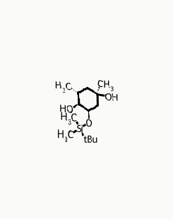 C[C@@H]1C[C@@](C)(O)C[C@@H](O[Si](C)(C)C(C)(C)C)[C@H]1O